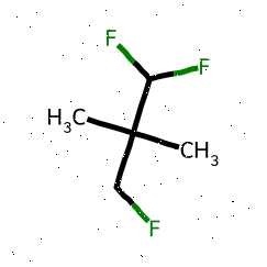 CC(C)(CF)C(F)F